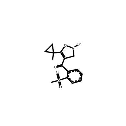 CC1(C2=C(C(=O)c3ccccc3S(C)(=O)=O)CN(Br)O2)CC1